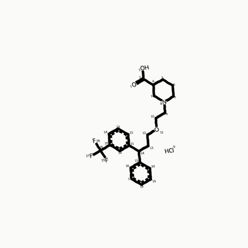 Cl.O=C(O)C1CCCN(CCOCCC(c2ccccc2)c2cccc(C(F)(F)F)c2)C1